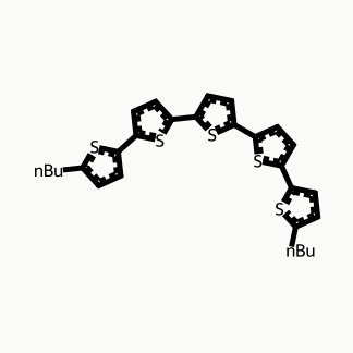 CCCCc1ccc(-c2ccc(-c3ccc(-c4ccc(-c5ccc(CCCC)s5)s4)s3)s2)s1